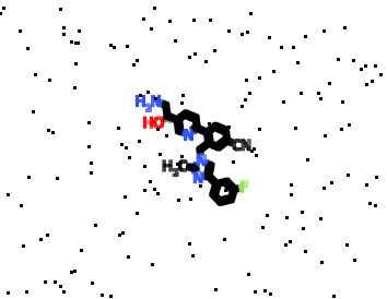 Cc1nc(-c2cccc(F)c2)cn1Cc1cc(C#N)ccc1-c1ccc([C@H](O)CN)cn1